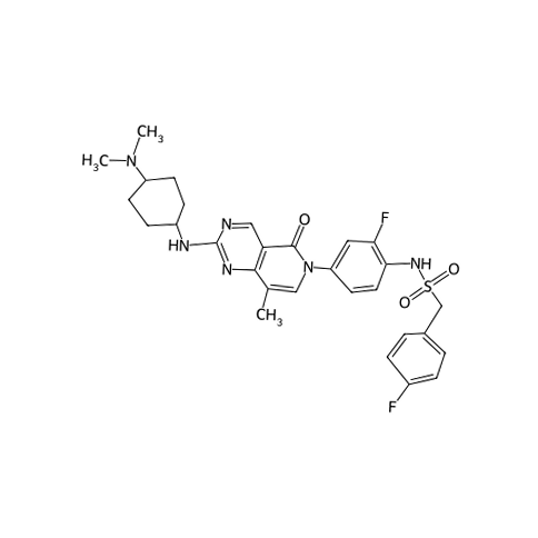 Cc1cn(-c2ccc(NS(=O)(=O)Cc3ccc(F)cc3)c(F)c2)c(=O)c2cnc(NC3CCC(N(C)C)CC3)nc12